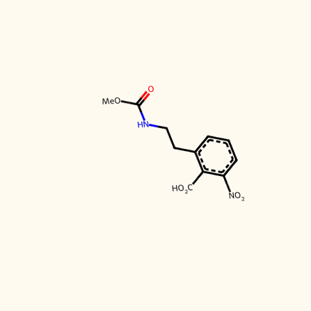 COC(=O)NCCc1cccc([N+](=O)[O-])c1C(=O)O